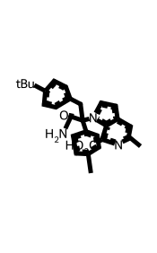 Cc1ccc(C(Cc2ccc(C(C)(C)C)cc2)(C(N)=O)n2ccc3cc(C)nc(C(=O)O)c32)cc1